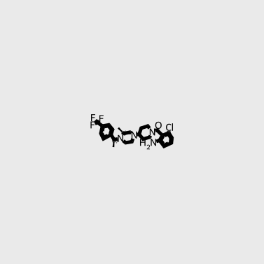 C[C@H]1CN(C2CCN(C(=O)c3c(N)cccc3Cl)CC2)CCN1[C@@H](C)c1ccc(C(F)(F)F)cc1